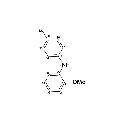 COc1ccccc1Nc1ccc(C)cc1